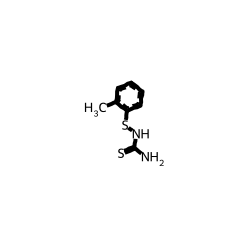 Cc1ccccc1SNC(N)=S